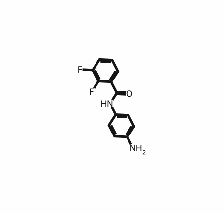 Nc1ccc(NC(=O)c2cccc(F)c2F)cc1